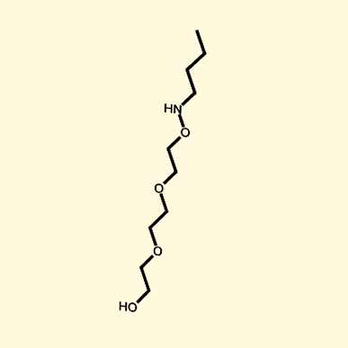 CCCCNOCCOCCOCCO